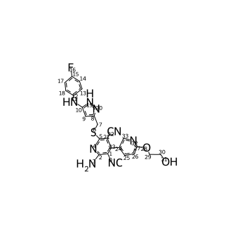 [C-]#[N+]c1c(N)nc(SCc2cc(Nc3ccc(F)cc3)[nH]n2)c(C#N)c1-c1ccc(OCCO)nc1